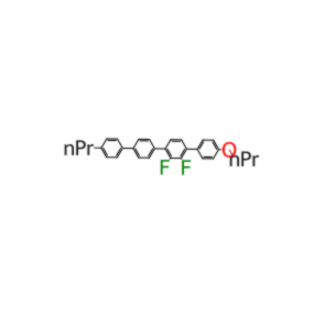 CCCOc1ccc(-c2ccc(-c3ccc(-c4ccc(CCC)cc4)cc3)c(F)c2F)cc1